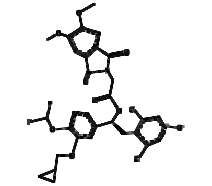 COc1cc2c(cc1OC)C(=O)N(CC(=O)O[C@@H](Cc1c(Cl)c[n+]([O-])cc1Cl)c1ccc(OC(F)F)c(OCC3CC3)c1)C2=O